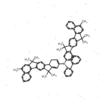 Cc1cc2c(c3ccccc13)-c1cc3c(cc1C2(C)C)-c1ccc(N(C2=CCC4C(=C2)C(C)(C)c2cc5c(cc24)C(C)(C)c2cc(C)c4ccccc4c2-5)c2ccccc2-c2ccccc2)cc1C3(C)C